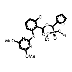 CCOP(=O)(OCC)C(OC(=O)c1c(Cl)cccc1Sc1nc(OC)cc(OC)n1)c1ccco1